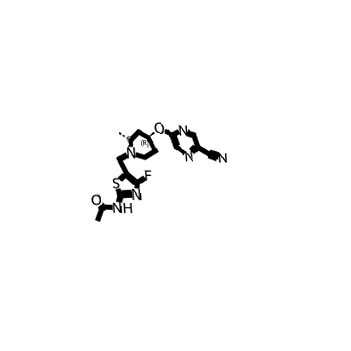 CC(=O)Nc1nc(F)c(CN2CC[C@@H](Oc3cnc(C#N)cn3)C[C@H]2C)s1